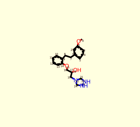 COc1cccc(CCc2ccccc2OCC(O)CN2CNNC2)c1